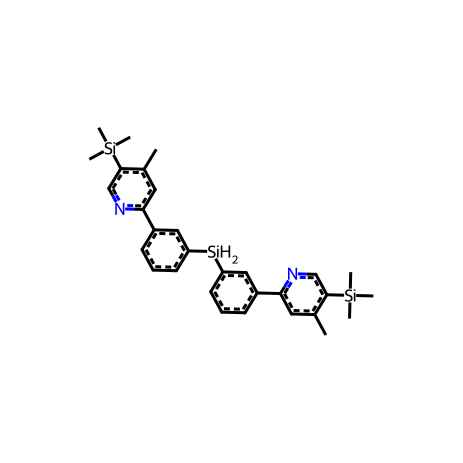 Cc1cc(-c2cccc([SiH2]c3cccc(-c4cc(C)c([Si](C)(C)C)cn4)c3)c2)ncc1[Si](C)(C)C